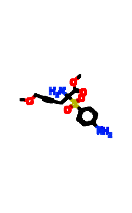 COCC#CCC(N)(C(=O)OC)S(=O)(=O)c1ccc(N)cc1